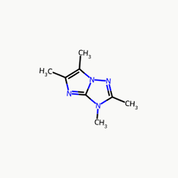 Cc1nc2n(C)c(C)nn2c1C